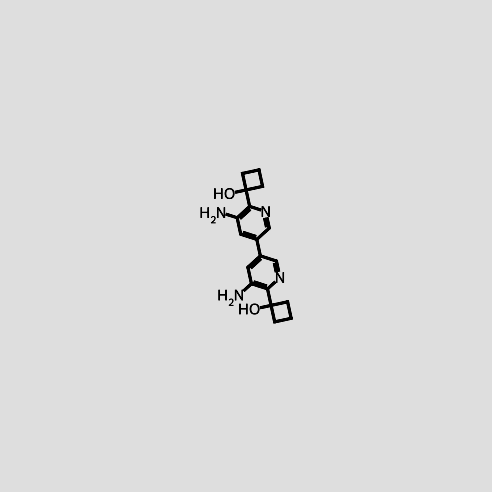 Nc1cc(-c2cnc(C3(O)CCC3)c(N)c2)cnc1C1(O)CCC1